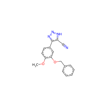 COc1ccc(-c2nn[nH]c2C#N)cc1OCc1ccccc1